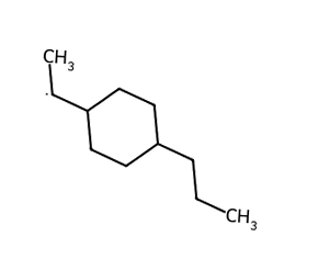 C[CH]C1CCC(CCC)CC1